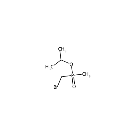 CC(C)OP(C)(=O)CBr